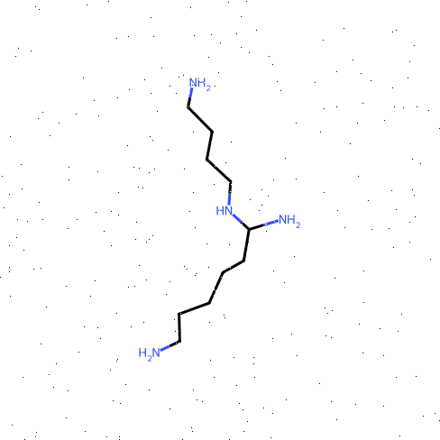 NCCCCCC(N)NCCCCN